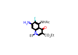 CCOC(=O)c1cn(CC)c2cc(N)c(F)c(NC(C)=O)c2c1=O